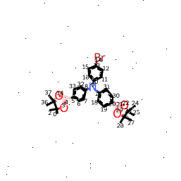 CC1(C)OB(c2ccc(N(c3ccc(Br)cc3)c3ccc(B4OC(C)(C)C(C)(C)O4)cc3)cc2)OC1(C)C